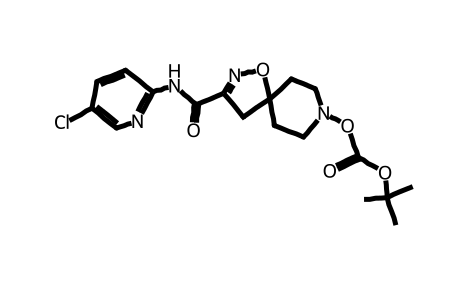 CC(C)(C)OC(=O)ON1CCC2(CC1)CC(C(=O)Nc1ccc(Cl)cn1)=NO2